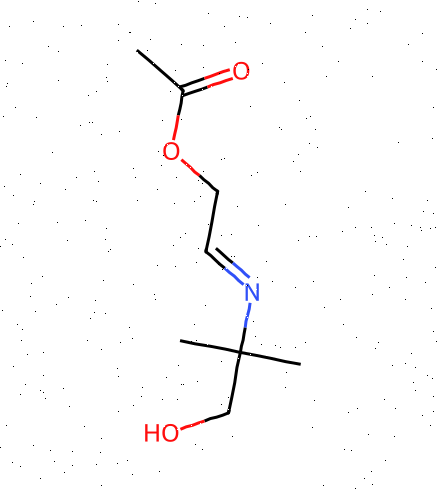 CC(=O)OCC=NC(C)(C)CO